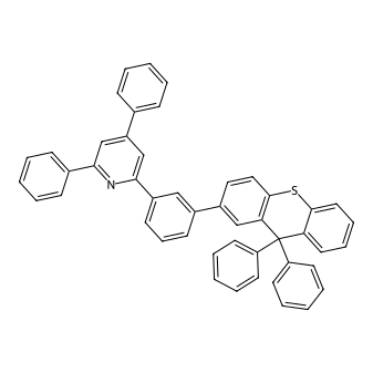 c1ccc(-c2cc(-c3ccccc3)nc(-c3cccc(-c4ccc5c(c4)C(c4ccccc4)(c4ccccc4)c4ccccc4S5)c3)c2)cc1